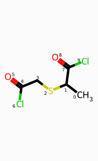 CC(SCC(=O)Cl)C(=O)Cl